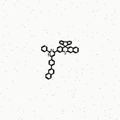 c1ccc(-c2nc(-c3ccc(-c4ccc5ccccc5c4)cc3)cc(-c3ccc4c(c3)Sc3cc5ccccc5cc3C43c4ccccc4-c4ccccc43)n2)cc1